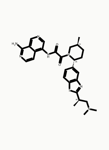 C[C@H]1CC[C@H](c2ccc3sc([C@H](C)CN(C)C)nc3c2)N(C(=O)C(=O)Nc2cncc3c(N)nccc23)C1